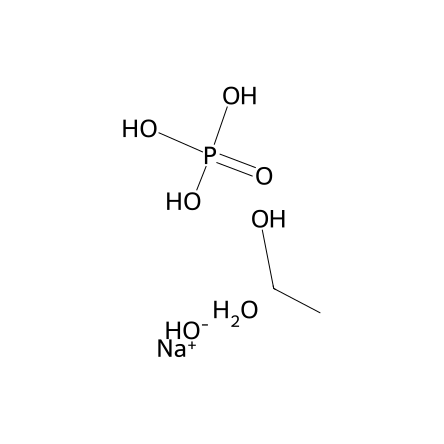 CCO.O.O=P(O)(O)O.[Na+].[OH-]